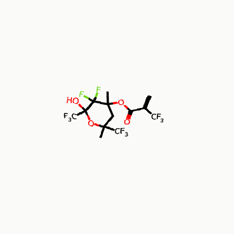 C=C(C(=O)OC1(C)CC(C)(C(F)(F)F)OC(O)(C(F)(F)F)C1(F)F)C(F)(F)F